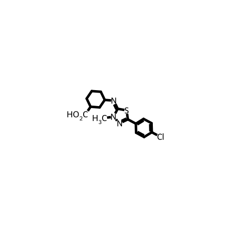 Cn1nc(-c2ccc(Cl)cc2)s/c1=N/C1CCCC(C(=O)O)C1